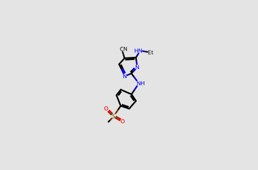 CCNc1nc(Nc2ccc(S(C)(=O)=O)cc2)ncc1C#N